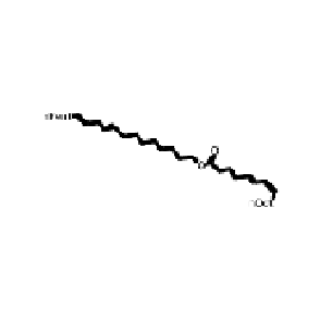 CCCCC/C=C/C/C=C/CCCCCCCCOC(=O)CCC/C=C/C=C\CCCCCCCC